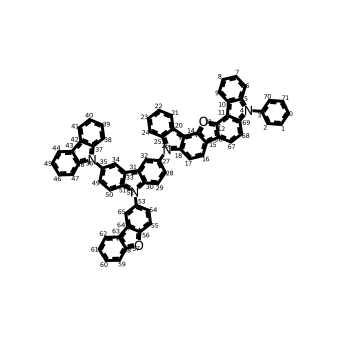 c1ccc(-n2c3ccccc3c3c4oc5c(ccc6c5c5ccccc5n6-c5ccc6c(c5)c5cc(-n7c8ccccc8c8ccccc87)ccc5n6-c5ccc6oc7ccccc7c6c5)c4ccc32)cc1